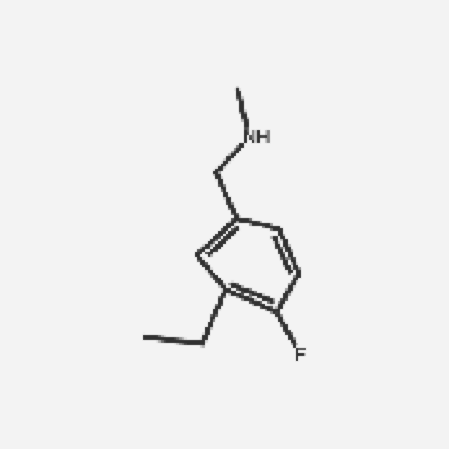 CCc1cc(CNC)ccc1F